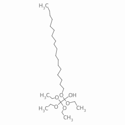 CCCCCCCCCCCCCCCCCCOC(O)(OCC)C(OCC)(OCC)OCC